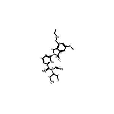 CCNCc1cc(OC)cc2c1CN(c1cccc(C(=N)N(C=N)C(CC)CO)n1)C2=O